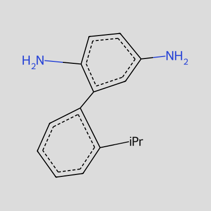 CC(C)c1ccccc1-c1cc(N)ccc1N